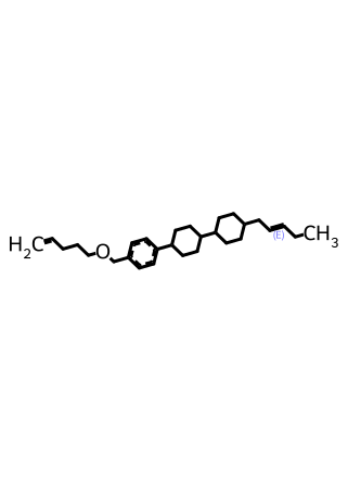 C=CCCCOCc1ccc(C2CCC(C3CCC(C/C=C/CC)CC3)CC2)cc1